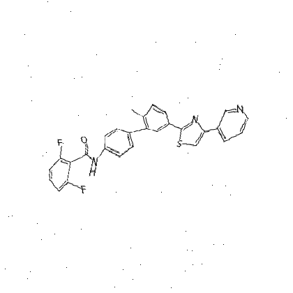 Cc1ccc(-c2nc(-c3cccnc3)cs2)cc1-c1ccc(NC(=O)c2c(F)cccc2F)cc1